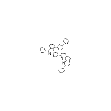 c1ccc(-c2cccc(-c3cccc4c(-c5ccccc5)nc5ccc(-c6ccc7ccc8ccc(-c9ccccc9)nc8c7n6)cc5c34)c2)cc1